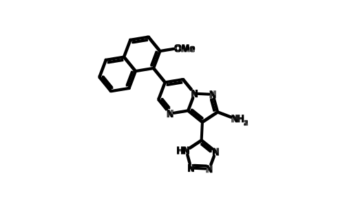 COc1ccc2ccccc2c1-c1cnc2c(-c3nnn[nH]3)c(N)nn2c1